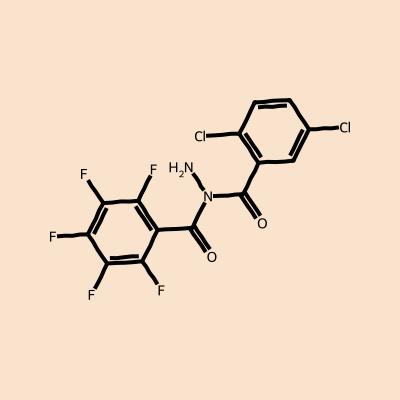 NN(C(=O)c1cc(Cl)ccc1Cl)C(=O)c1c(F)c(F)c(F)c(F)c1F